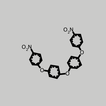 O=[N+]([O-])c1ccc(Oc2ccc(Oc3ccc(Oc4ccc([N+](=O)[O-])cc4)cc3)cc2)cc1